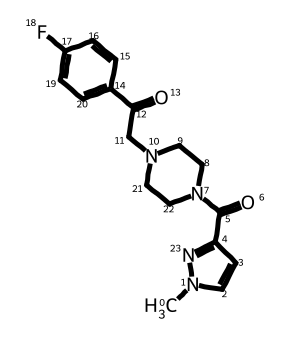 Cn1ccc(C(=O)N2CCN(CC(=O)c3ccc(F)cc3)CC2)n1